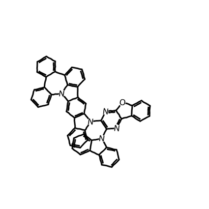 c1ccc2c(c1)-c1ccccc1-n1c3cc4c5ccccc5n(-c5nc6oc7ccccc7c6nc5-n5c6ccccc6c6ccccc65)c4cc3c3cccc-2c31